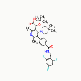 Cc1nc(C)c(C(OC(C)(C)C)C(=O)O)c(N2CCC(C)(C)CC2)c1-c1ccc(C(=O)NCc2c(F)cc(F)cc2F)cc1